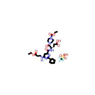 CCOC(=O)CCNc1cc(C(=O)N[C@@H](CCC(=O)O)C(=O)N2CCN(C(=O)OCC)CC2)nc(-c2ccccc2)n1.O=S(=O)(O)C(F)(F)F